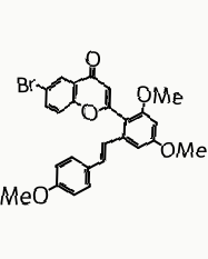 COc1ccc(C=Cc2cc(OC)cc(OC)c2-c2cc(=O)c3cc(Br)ccc3o2)cc1